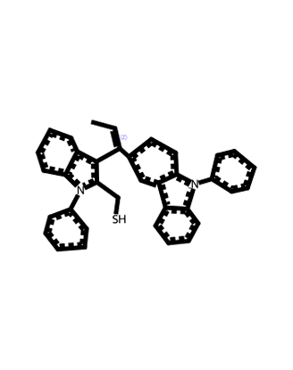 C/C=C(/c1ccc2c(c1)c1ccccc1n2-c1ccccc1)c1c(CS)n(-c2ccccc2)c2ccccc12